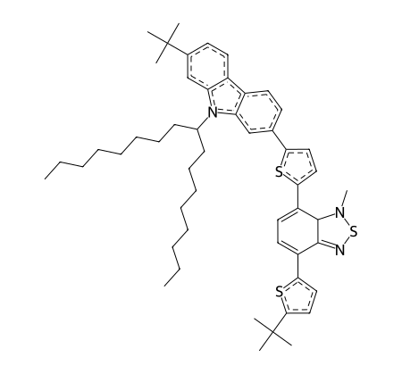 CCCCCCCCC(CCCCCCCC)n1c2cc(-c3ccc(C4=CC=C(c5ccc(C(C)(C)C)s5)C5=NSN(C)C45)s3)ccc2c2ccc(C(C)(C)C)cc21